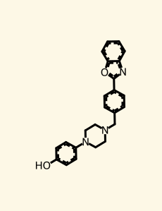 Oc1ccc(N2CCN(Cc3ccc(-c4nc5ccccc5o4)cc3)CC2)cc1